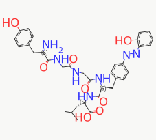 CC(C)C[C@H](NC(=O)[C@H](Cc1ccc(N=Nc2ccccc2O)cc1)NC(=O)CNC(=O)CNC(=O)[C@@H](N)Cc1ccc(O)cc1)C(=O)O